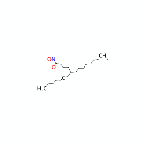 CCCCCCCCC(CCCCCCC)CCCC(=O)N=O